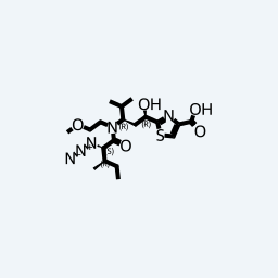 CC[C@@H](C)[C@H](N=[N+]=[N-])C(=O)N(CCOC)[C@H](C[C@@H](O)c1nc(C(=O)O)cs1)C(C)C